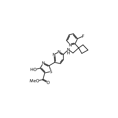 COC(=O)c1sc(-c2ccc(NCC3(c4ncccc4F)CCC3)nn2)nc1O